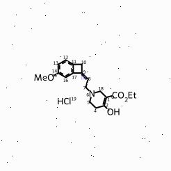 CCOC(=O)C1=C(O)CCN(C/C=C2/Cc3ccc(OC)cc32)C1.Cl